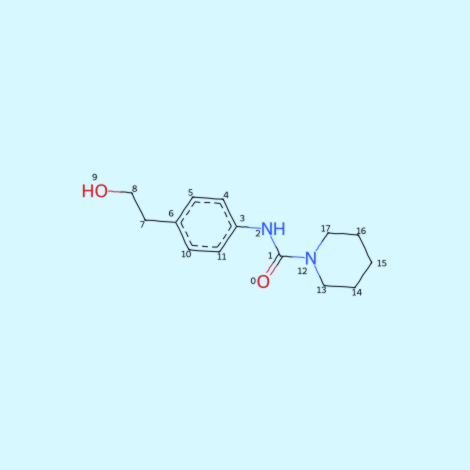 O=C(Nc1ccc(CCO)cc1)N1CCCCC1